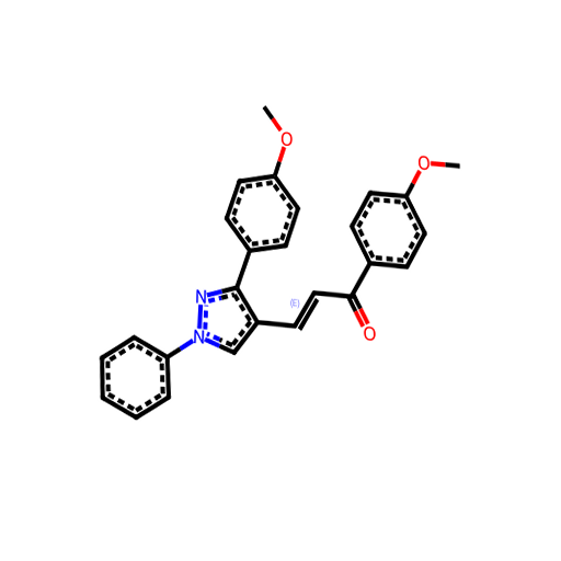 COc1ccc(C(=O)/C=C/c2cn(-c3ccccc3)nc2-c2ccc(OC)cc2)cc1